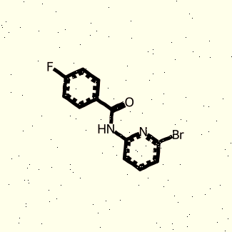 O=C(Nc1cccc(Br)n1)c1ccc(F)cc1